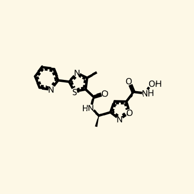 Cc1nc(-c2ccccn2)sc1C(=O)N[C@H](C)c1cc(C(=O)NO)on1